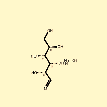 O=C[C@H](O)[C@@H](O)[C@H](O)[C@H](O)CO.[KH].[NaH]